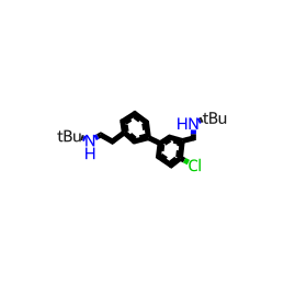 CC(C)(C)NCCc1cccc(-c2ccc(Cl)c(CNC(C)(C)C)c2)c1